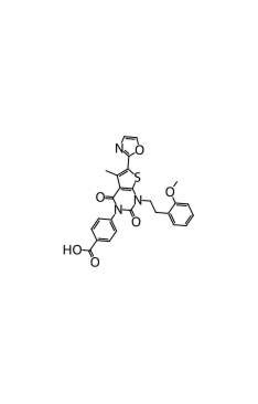 COc1ccccc1CCn1c(=O)n(-c2ccc(C(=O)O)cc2)c(=O)c2c(C)c(-c3ncco3)sc21